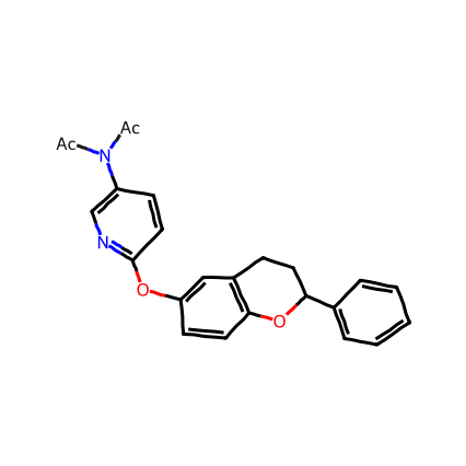 CC(=O)N(C(C)=O)c1ccc(Oc2ccc3c(c2)CCC(c2ccccc2)O3)nc1